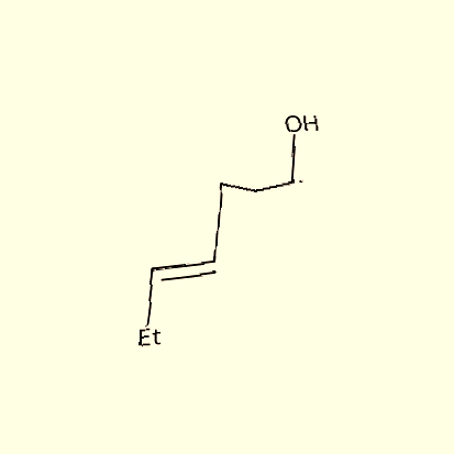 CCC=CC[CH]O